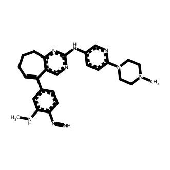 CNc1cc(C2=CCCCc3nc(Nc4ccc(N5CCN(C)CC5)nc4)ncc32)ccc1N=N